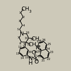 CCCCCCN1CCC(C)(c2cccc(NS(=O)(=O)c3cccc4cccnc34)c2)C(C)C1